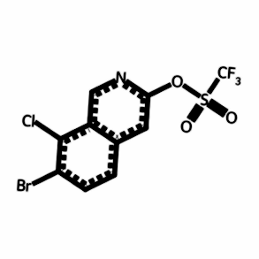 O=S(=O)(Oc1cc2ccc(Br)c(Cl)c2cn1)C(F)(F)F